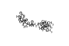 CCCC(C)(CC)N[C@@H](CCCCNC(=O)COc1cccc2c1C(=O)N(C1CCC(=O)NC1=O)C2=O)C(=O)NC(C)(C)CC